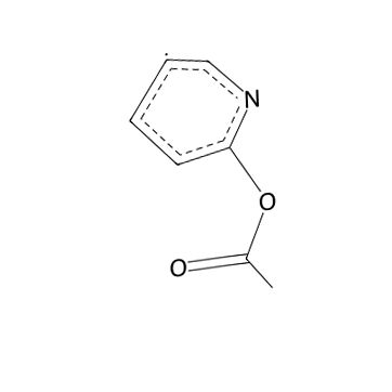 CC(=O)Oc1cc[c]cn1